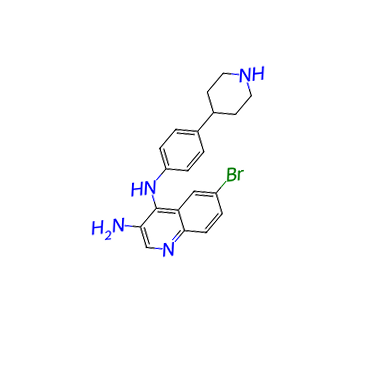 Nc1cnc2ccc(Br)cc2c1Nc1ccc(C2CCNCC2)cc1